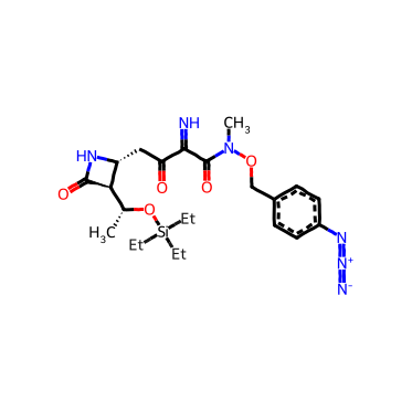 CC[Si](CC)(CC)O[C@H](C)[C@H]1C(=O)N[C@@H]1CC(=O)C(=N)C(=O)N(C)OCc1ccc(N=[N+]=[N-])cc1